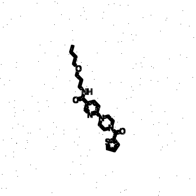 CCCCOCCCNC(=O)c1ccc(N2CCN(C(=O)c3cccs3)CC2)nc1